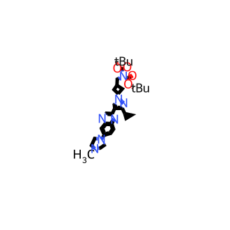 CN1CCN(c2ccc3nc(-c4cn(C5CC(CN(C(=O)OC(C)(C)C)C(=O)OC(C)(C)C)C5)nc4C4CC4)cnc3c2)CC1